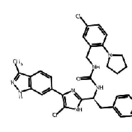 Cc1n[nH]c2cc(-c3nc([C@H](Cc4ccccc4)NC(=O)NCc4cc(Cl)ccc4N4CCCC4)[nH]c3Cl)ccc12